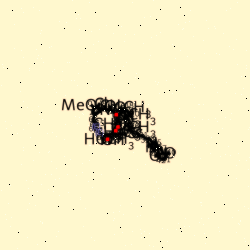 COc1cc2cc(c1Cl)N(C)C(=O)C[C@H](OC(=O)[C@H](C)N(C)C(=O)CCC(C)(C)SSCCCCn1cc(CN3C(=O)C=CC3=O)nn1)[C@@]1(C)CC(C)(O1)[C@@H](OC(C)=O)C[C@](C)(O)[C@H](O)/C=C/C=C(\C)C2